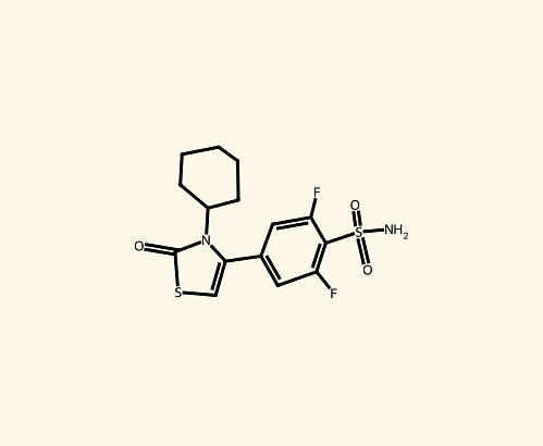 NS(=O)(=O)c1c(F)cc(-c2csc(=O)n2C2CCCCC2)cc1F